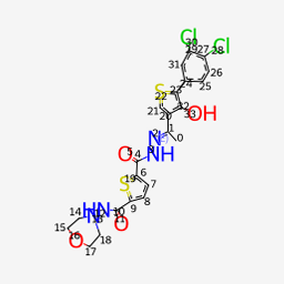 C/C(=N\NC(=O)c1ccc(C(=O)NN2CCOCC2)s1)c1csc(-c2ccc(Cl)c(Cl)c2)c1O